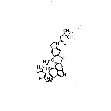 COc1cc2c(cc1Nc1nc(Nc3cccc(F)c3C(N)=O)c3c(C)cnc-3[nH]1)N(C(=O)CN(C)C)CC2